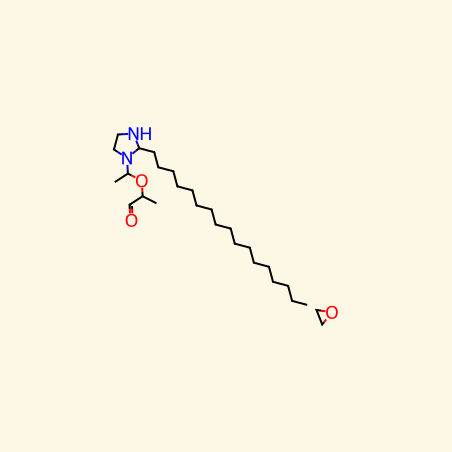 C1CO1.CCCCCCCCCCCCCCCCCC1NCCN1C(C)OC(C)C=O